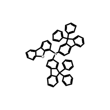 c1ccc(C2(c3ccccc3)c3ccccc3-c3ccc(N(c4ccc5c(c4)C(c4ccccc4)(c4ccccc4)c4ccccc4-5)c4cccc5c4oc4ccccc45)cc32)cc1